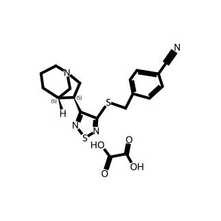 N#Cc1ccc(CSc2nsnc2[C@@H]2CN3CCC[C@@H]2C3)cc1.O=C(O)C(=O)O